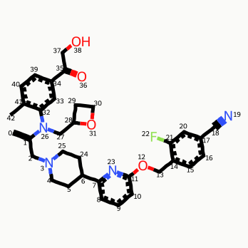 C=C(CN1CCC(c2cccc(OCc3ccc(C#N)cc3F)n2)CC1)N(CC1CCO1)c1cc(C(=O)CO)ccc1C